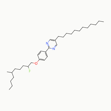 CCCCCCCCCCCCc1cnc(-c2ccc(OCC(F)CCCC(C)CCCC)cc2)nc1